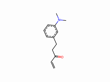 C=CC(=O)CCc1cccc(N(C)C)c1